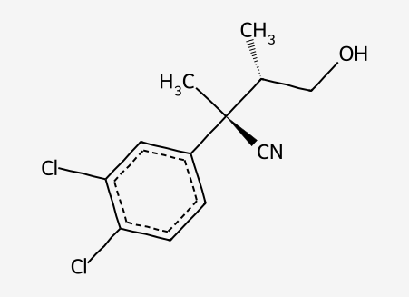 C[C@H](CO)[C@](C)(C#N)c1ccc(Cl)c(Cl)c1